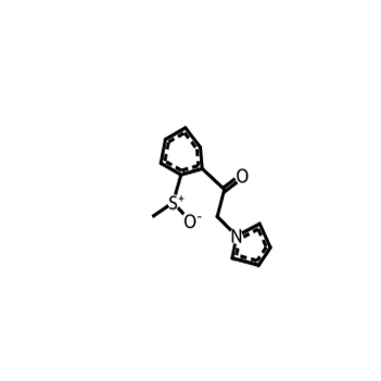 C[S+]([O-])c1ccccc1C(=O)Cn1cccc1